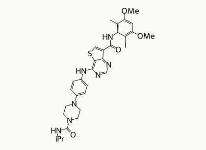 COc1cc(OC)c(I)c(NC(=O)c2csc3c(Nc4ccc(N5CCN(C(=O)NC(C)C)CC5)cc4)ncnc23)c1C